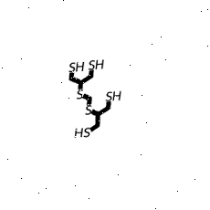 SCC(CS)SCSC(CS)CS